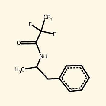 CC(Cc1ccccc1)NC(=O)C(F)(F)C(F)(F)F